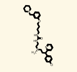 CN(CCNC(=O)NCCCCOc1cccc(CN2CCCCC2)c1)CCC(c1ccc(Cl)cc1)c1ccccn1